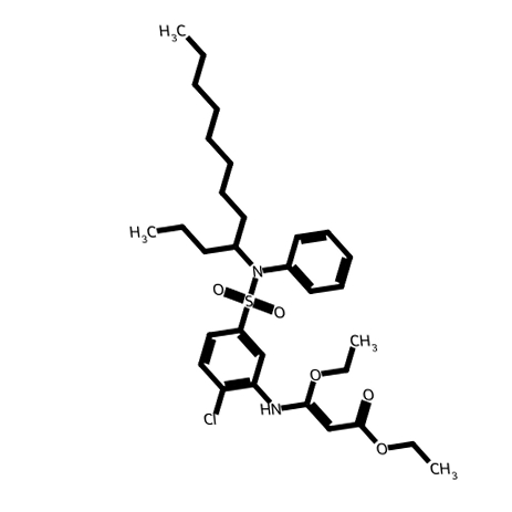 CCCCCCCCC(CCC)N(c1ccccc1)S(=O)(=O)c1ccc(Cl)c(NC(=CC(=O)OCC)OCC)c1